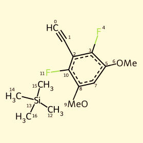 C#Cc1c(F)c(OC)cc(OC)c1F.C[Si](C)(C)C